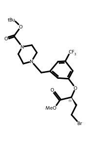 COC(=O)[C@H](CCBr)Oc1cc(CN2CCN(C(=O)OC(C)(C)C)CC2)cc(C(F)(F)F)c1